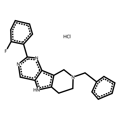 Cl.Fc1ccccc1-c1ncc2[nH]c3c(c2n1)CN(Cc1ccccc1)CC3